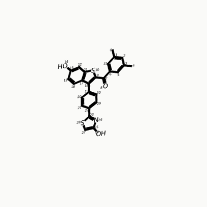 Cc1cc(C)cc(C(=O)c2sc3cc(O)ccc3c2-c2ccc(-c3nc(O)cs3)cc2)c1